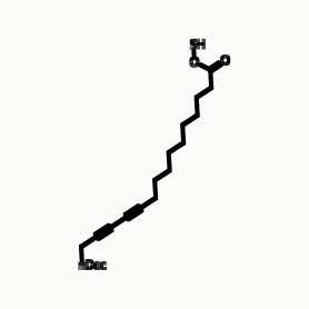 CCCCCCCCCCCC#CC#CCCCCCCCCCC(=O)OS